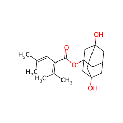 CC(C)=CC(C(=O)OC12CC3CC(O)(CC(O)(C3)C1)C2)=C(C)C